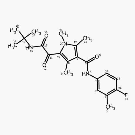 Cc1cc(NC(=O)c2c(C)c(C(=O)C(=O)NC(C)(C)C)n(C)c2C)ccc1F